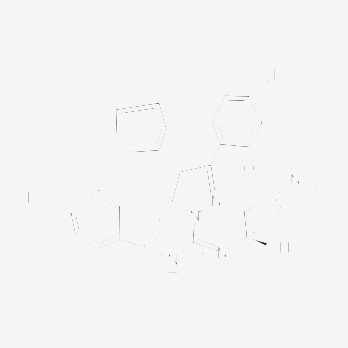 C[C@H](CS(N)(=O)=O)/N=C(/NS(=O)(=O)c1ccc(C(F)(F)F)cc1)N1C[C@H](c2ccccc2)C(c2ccc(Cl)cc2)=N1